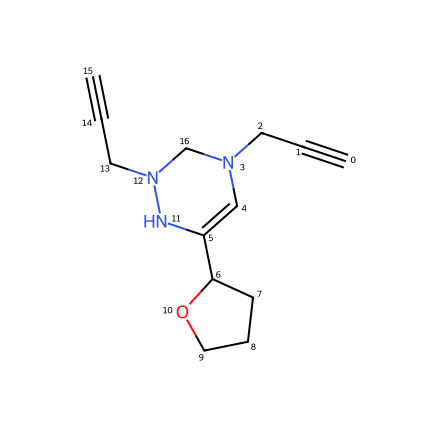 C#CCN1C=C(C2CCCO2)NN(CC#C)C1